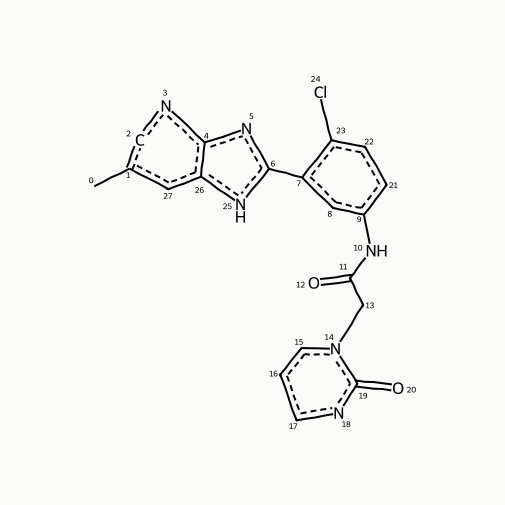 Cc1cnc2nc(-c3cc(NC(=O)Cn4cccnc4=O)ccc3Cl)[nH]c2c1